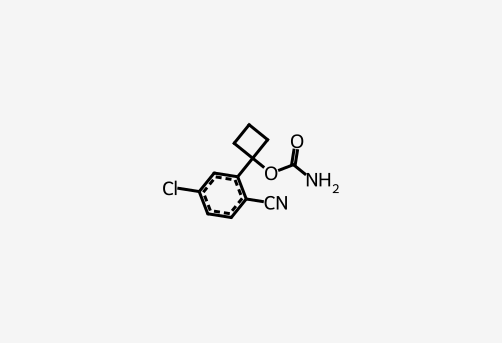 N#Cc1ccc(Cl)cc1C1(OC(N)=O)CCC1